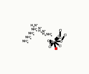 [NH4+].[NH4+].[NH4+].[NH4+].[NH4+].[NH4+].[NH4+].[NH4+].[O]=[Ru-8](=[O])(=[O])([Cl])([Cl])([Cl])([Cl])([O]Cl)[O]Cl